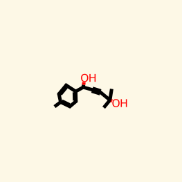 Cc1ccc(C(O)C#CC(C)(C)O)cc1